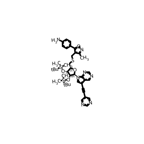 Cc1noc(-c2ccc(N)cc2)c1CSC[C@H]1O[C@@H](n2cc(C#Cc3cncnc3)c3cncnc32)[C@H](O[Si](C)(C)C(C)(C)C)[C@@H]1O[Si](C)(C)C(C)(C)C